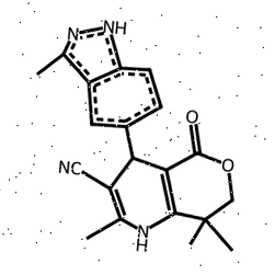 CC1=C(C#N)C(c2ccc3[nH]nc(C)c3c2)C2=C(N1)C(C)(C)COC2=O